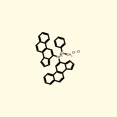 [CH3][Ge]([c]1ccccc1)=[Hf+2]([C]1=Cc2c(ccc3ccccc23)C2C=CC=C12)[C]1=Cc2c(ccc3ccccc23)C2C=CC=C12.[Cl-].[Cl-]